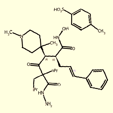 CCCC(CC(C)C)(C(=O)NN)C(=O)[C@H]([C@H](C/C=C/c1ccccc1)C(=O)NO)C1(C)CCN(C)CC1.Cc1ccc(S(=O)(=O)O)cc1